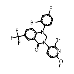 COc1ccc(N2CN(c3ccc(F)cc3Br)c3ccc(C(F)(F)F)cc3C2=O)c(Br)n1